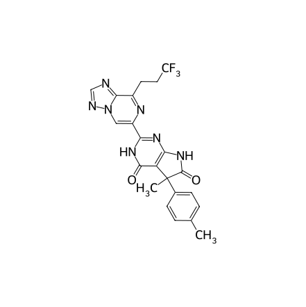 Cc1ccc(C2(C)C(=O)Nc3nc(-c4cn5ncnc5c(CCC(F)(F)F)n4)[nH]c(=O)c32)cc1